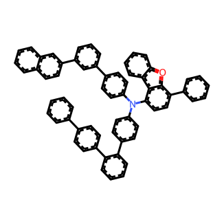 c1ccc(-c2ccc(-c3ccccc3-c3ccc(N(c4ccc(-c5cccc(-c6ccc7ccccc7c6)c5)cc4)c4ccc(-c5ccccc5)c5oc6ccccc6c45)cc3)cc2)cc1